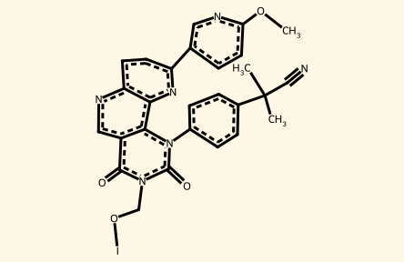 COc1ccc(-c2ccc3ncc4c(=O)n(COI)c(=O)n(-c5ccc(C(C)(C)C#N)cc5)c4c3n2)cn1